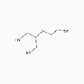 SCCSC(CS)CS